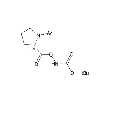 CC(=O)N1CCC[C@H]1C(=O)ONC(=O)OC(C)(C)C